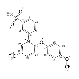 CCS(=O)(=O)c1cccc(N2C=C(C(F)(F)F)C=CC2Oc2ccc(OC(F)(F)F)cc2)c1